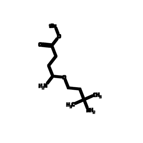 CC(C)(N)CCOC(N)CCC(=O)OC(C)(C)C